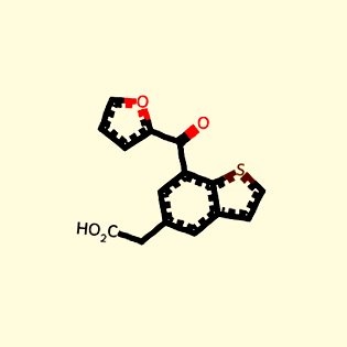 O=C(O)Cc1cc(C(=O)c2ccco2)c2sccc2c1